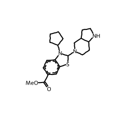 COC(=O)c1ccc2c(c1)SC(N1CCC3NCCC3C1)N2C1CCCC1